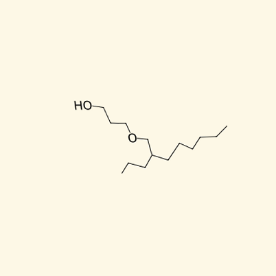 CCCCCCC(CCC)COCCCO